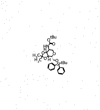 CC(C)(C)OC(=O)N[C@H]1CO[C@H](CO[Si](c2ccccc2)(c2ccccc2)C(C)(C)C)[C@@H]2OC(C)(C)O[C@@H]21